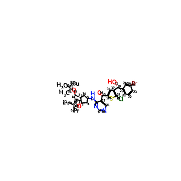 CC(C)[Si](O[C@H]1C[C@H](Nc2ncncc2C(=O)c2cc([C@H](O)c3cccc(Br)c3)c(Cl)s2)C[C@@H]1CO[Si](C)(C)C(C)(C)C)(C(C)C)C(C)C